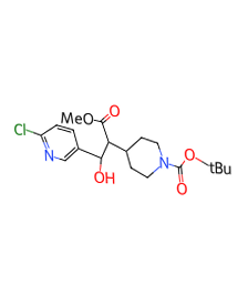 COC(=O)C(C1CCN(C(=O)OC(C)(C)C)CC1)C(O)c1ccc(Cl)nc1